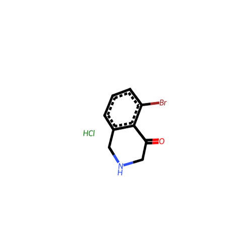 Cl.O=C1CNCc2cccc(Br)c21